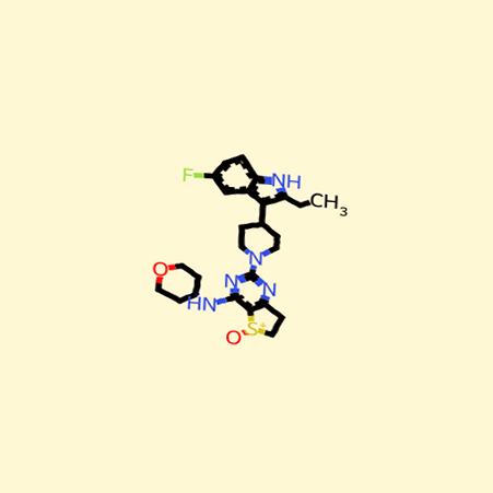 CCc1[nH]c2ccc(F)cc2c1C1CCN(c2nc3c(c(NC4CCOCC4)n2)[S+]([O-])CC3)CC1